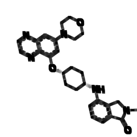 CN1Cc2c(N[C@H]3CC[C@@H](Oc4cc(N5CCOCC5)cc5nccnc45)CC3)cccc2C1=O